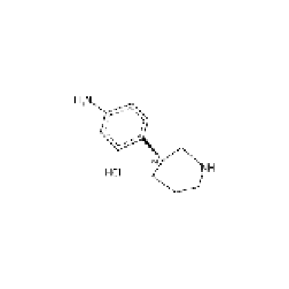 Cl.Nc1ccc([C@@H]2CCCNC2)cc1